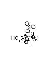 O=C(COC(=O)C12CC3CC(C1)C(=O)C(C3)C2)OC(C(F)(F)F)C(F)(F)S(=O)(=O)O.c1ccc([S+](c2ccccc2)c2ccccc2)cc1